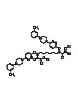 CCON(CC)C(=O)N(CCCCCCN(Oc1ccc(N2CCN(c3cccc(C)c3)CC2)nn1)C(=O)N(CC)OCC)Oc1ccc(N2CCN(c3cccc(C)c3)CC2)nn1